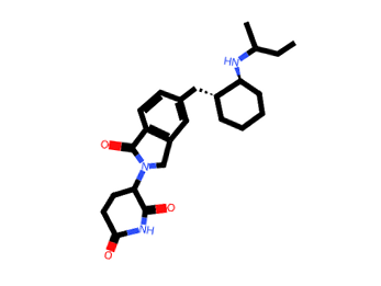 CCC(C)N[C@H]1CCCC[C@@H]1Cc1ccc2c(c1)CN(C1CCC(=O)NC1=O)C2=O